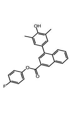 Cc1cc(-c2cc(C(=O)Oc3ccc(F)cc3)cc3ccccc23)cc(C)c1O